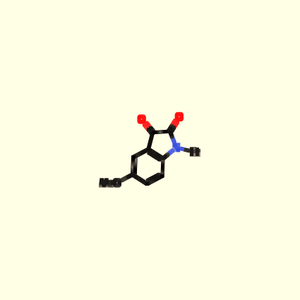 CCN1C(=O)C(=O)c2cc(OC)ccc21